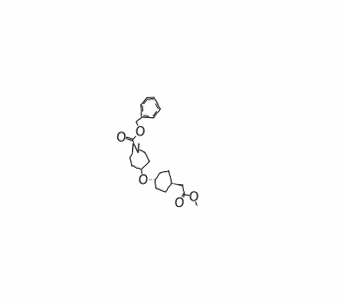 COC(=O)C[C@H]1CC[C@H](OC2CCN(C(=O)OCc3ccccc3)CC2)CC1